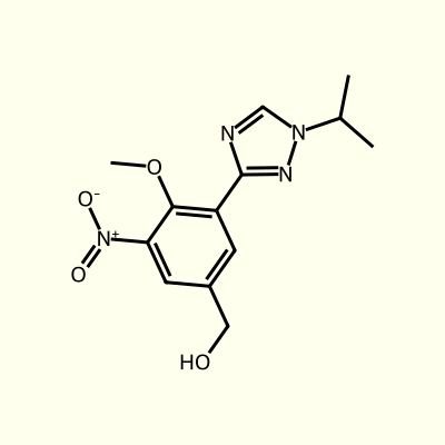 COc1c(-c2ncn(C(C)C)n2)cc(CO)cc1[N+](=O)[O-]